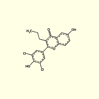 CCCc1c(-c2cc(Cl)c(O)c(Cl)c2)oc2ccc(O)cc2c1=O